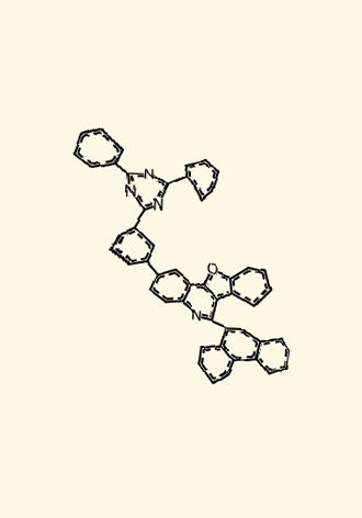 c1ccc(-c2nc(-c3ccccc3)nc(-c3cccc(-c4ccc5nc(-c6cc7ccccc7c7ccccc67)c6c7ccccc7oc6c5c4)c3)n2)cc1